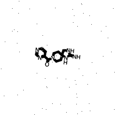 N=C1NCC2(CCN(C(=O)c3ccncn3)CC2)N1